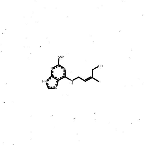 CSc1nc(NC/C=C(/C)CO)c2nc[nH]c2n1